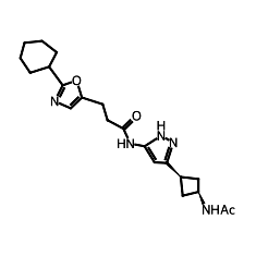 CC(=O)N[C@H]1C[C@@H](c2cc(NC(=O)CCc3cnc(C4CCCCC4)o3)[nH]n2)C1